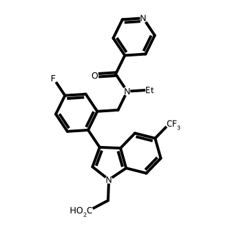 CCN(Cc1cc(F)ccc1-c1cn(CC(=O)O)c2ccc(C(F)(F)F)cc12)C(=O)c1ccncc1